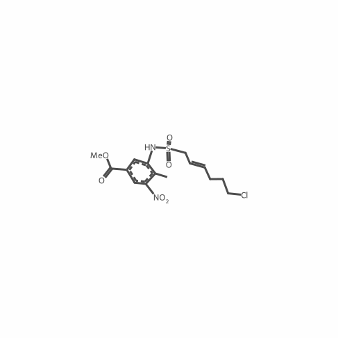 COC(=O)c1cc(NS(=O)(=O)CC=CCCCCl)c(C)c([N+](=O)[O-])c1